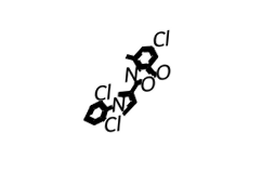 Cc1cc(Cl)cc2c(=O)oc(-c3ccn(-c4c(Cl)cccc4Cl)c3)nc12